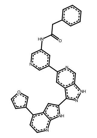 O=C(Cc1ccccc1)Nc1cncc(-c2cc3c(-c4cc5c(-c6ccoc6)ccnc5[nH]4)n[nH]c3cn2)c1